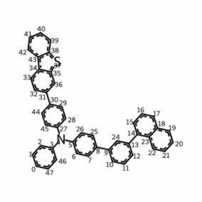 c1ccc(N(c2ccc(-c3cccc(-c4cccc5ccccc45)c3)cc2)c2ccc(-c3ccc4c(c3)sc3ccccc34)cc2)cc1